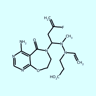 C=CN(CCC(=O)O)N(C)C(CC(=C)F)N1CCOc2ncnc(N)c2C1=O